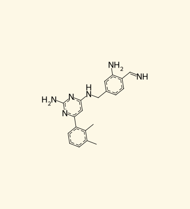 Cc1cccc(-c2cc(NCc3ccc(C=N)c(N)c3)nc(N)n2)c1C